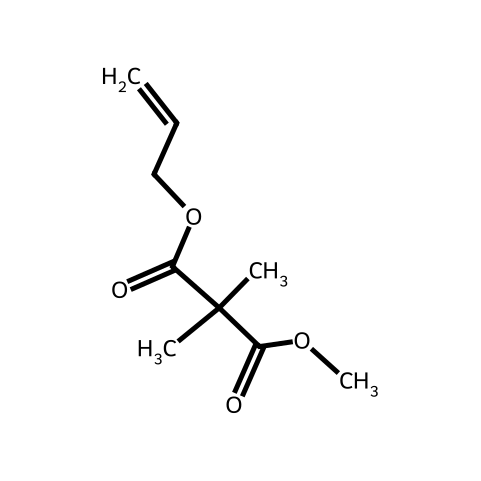 C=CCOC(=O)C(C)(C)C(=O)OC